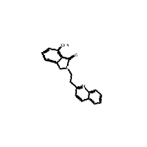 O=C1c2c(O)cccc2CN1CCc1ccc2ccccc2n1